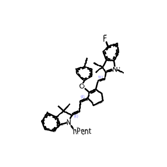 CCCCCN1/C(=C/C=C2\CCCC(/C=C/C3=[N+](C)c4ccc(F)cc4C3(C)C)=C2Oc2ccc(C)cc2)C(C)(C)c2ccccc21